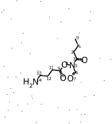 CCCC(=O)N(C=O)OC(=O)CCCN